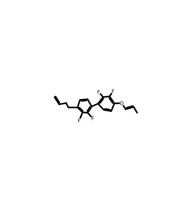 C=CCCc1ccc(-c2ccc(O/C=C/C)c(F)c2F)c(F)c1F